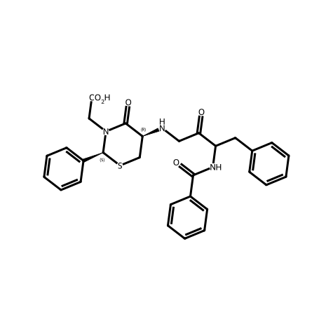 O=C(O)CN1C(=O)[C@@H](NCC(=O)C(Cc2ccccc2)NC(=O)c2ccccc2)CS[C@H]1c1ccccc1